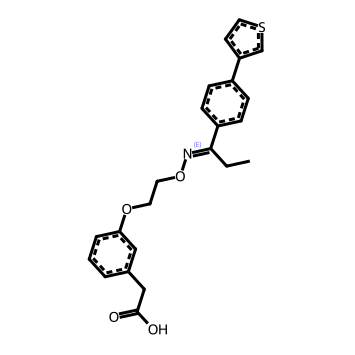 CC/C(=N\OCCOc1cccc(CC(=O)O)c1)c1ccc(-c2ccsc2)cc1